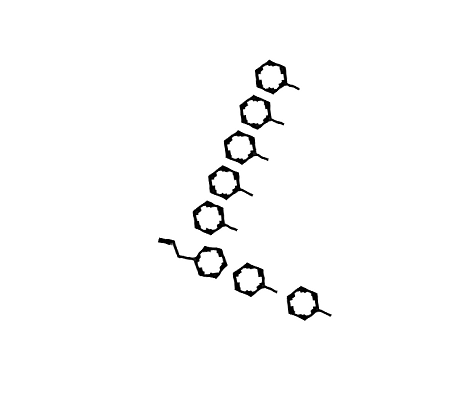 C=CCc1ccccc1.Cc1ccccc1.Cc1ccccc1.Cc1ccccc1.Cc1ccccc1.Cc1ccccc1.Cc1ccccc1.Cc1ccccc1